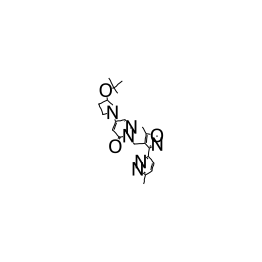 Cc1ccc(-c2noc(C)c2Cn2ncc(N3CCC(OC(C)(C)C)C3)cc2=O)nn1